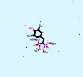 CCCCOP(=O)(OCCCC)C(Cc1cc(C(C)(C)C)c(O)c(C(C)(C)C)c1)P(=O)(OCCCC)OCCCC